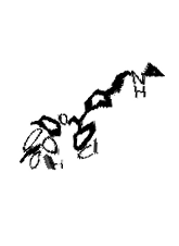 Cc1cc(OC/C=C(\c2ccc(Cl)cc2)c2ccc(C#CCNC3CC3)cc2)ccc1OC(C)C(=O)O